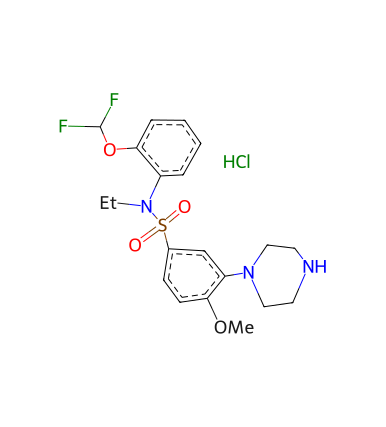 CCN(c1ccccc1OC(F)F)S(=O)(=O)c1ccc(OC)c(N2CCNCC2)c1.Cl